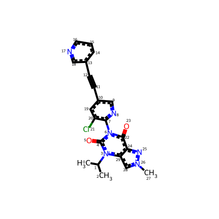 CC(C)n1c(=O)n(-c2ncc(C#Cc3cccnc3)cc2Cl)c(=O)c2nn(C)cc21